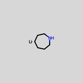 C1CCCNCC1.[Li]